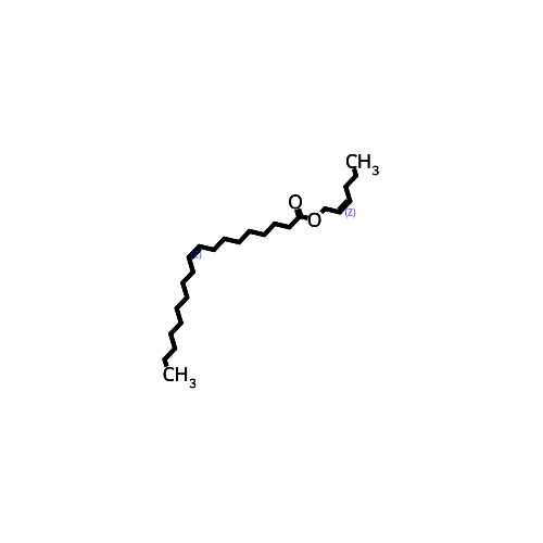 CCC/C=C\COC(=O)CCCCCCC/C=C\CCCCCCCCC